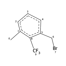 Cc1cccc(CBr)c1C(F)(F)F